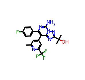 Cc1cc(-c2c(-c3ccc(F)cc3)nc(N)n3nc(C(C)(C)O)nc23)cc(C(F)(F)F)n1